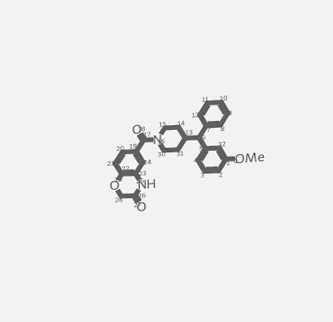 COc1cccc(C(c2ccccc2)C2CCN(C(=O)c3ccc4c(c3)NC(=O)CO4)CC2)c1